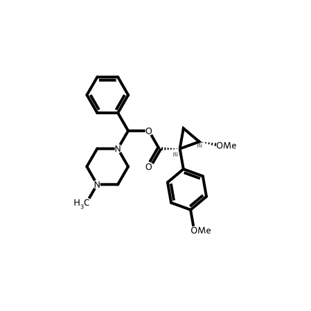 COc1ccc([C@@]2(C(=O)OC(c3ccccc3)N3CCN(C)CC3)C[C@@H]2OC)cc1